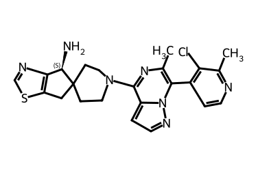 Cc1nccc(-c2c(C)nc(N3CCC4(CC3)Cc3scnc3[C@H]4N)c3ccnn23)c1Cl